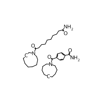 NC(=O)CCCCCCCCC(=O)N1CCCCCCCCC1.NC(=O)c1ccc(C(=O)N2CCCCCCCCC2)cc1